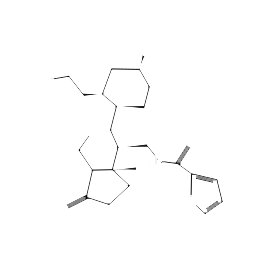 C=C1CC[C@H]2[C@H](CNC(=O)c3ccco3)[C@@H]([C@@H]3CC[C@H](O)C[C@@H]3CCO)CC[C@]12C